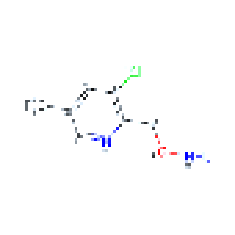 NOCc1ncc(C(F)(F)F)cc1Cl